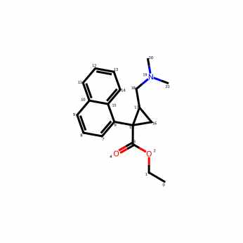 CCOC(=O)C1(c2cccc3ccccc23)CC1CN(C)C